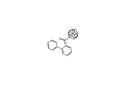 O=[PH](c1ccccc1-c1ccccc1)[C]12[CH]3[CH]4[CH]5[CH]1[Fe]45321678[CH]2[CH]1[CH]6[CH]7[CH]28